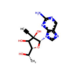 C#C[C@@]1(O)C(O)[C@@H]([C@H](C)O)O[C@H]1n1cnc2cnc(N)nc21